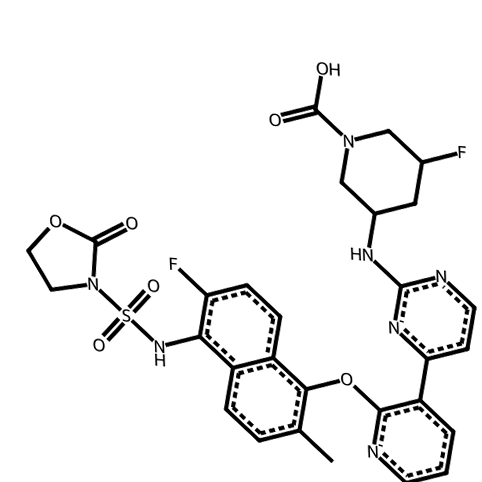 Cc1ccc2c(NS(=O)(=O)N3CCOC3=O)c(F)ccc2c1Oc1ncccc1-c1ccnc(NC2CC(F)CN(C(=O)O)C2)n1